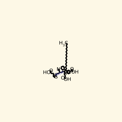 CCCCCCCCCCCCCCCCCCC1(C2C=CCCC2)C(/C=C/C(C#N)=C/C=C2\SC=CN2CCC(=O)O)=[N+](CCC(=O)O)c2ccc(C(=O)O)cc21